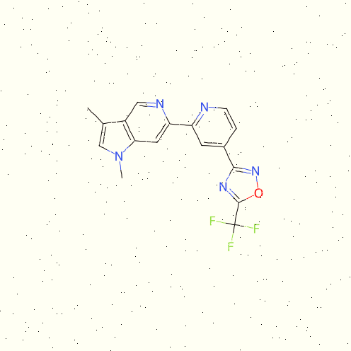 Cc1cn(C)c2cc(-c3cc(-c4noc(C(F)(F)F)n4)ccn3)ncc12